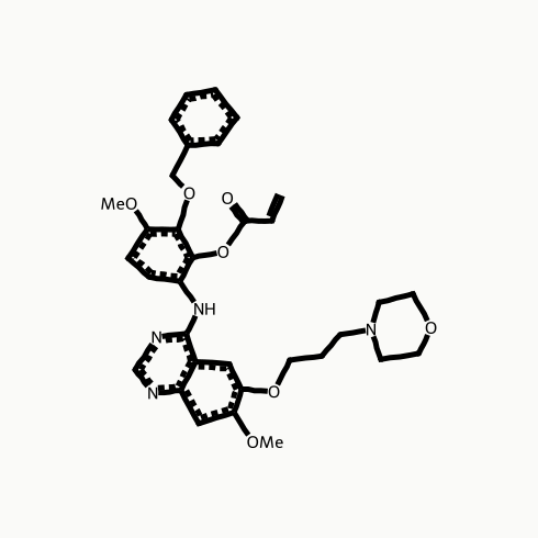 C=CC(=O)Oc1c(Nc2ncnc3cc(OC)c(OCCCN4CCOCC4)cc23)ccc(OC)c1OCc1ccccc1